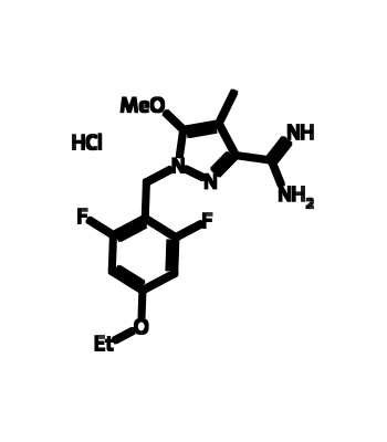 CCOc1cc(F)c(Cn2nc(C(=N)N)c(C)c2OC)c(F)c1.Cl